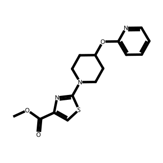 COC(=O)c1csc(N2CCC(Oc3ccccn3)CC2)n1